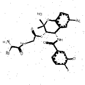 CC[C@H](C)[C@H](N)C(=O)NCC(=O)O[C@H]1[C@@H](NC(=O)c2ccc(F)c(Cl)c2)c2cc(C(C)=O)ccc2OC1(C)C.Cl